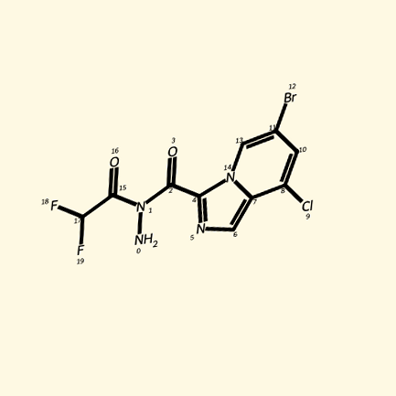 NN(C(=O)c1ncc2c(Cl)cc(Br)cn12)C(=O)C(F)F